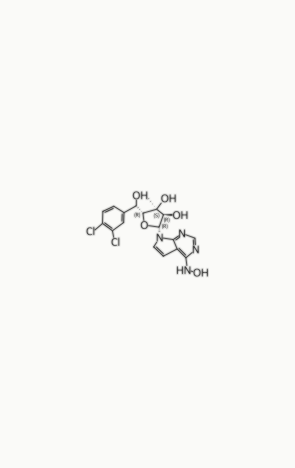 C[C@@]1(O)[C@@H](C(O)c2ccc(Cl)c(Cl)c2)O[C@@H](n2ccc3c(NO)ncnc32)[C@@H]1O